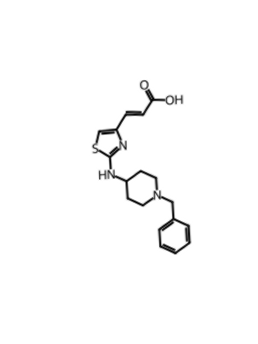 O=C(O)C=Cc1csc(NC2CCN(Cc3ccccc3)CC2)n1